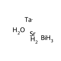 O.[BiH3].[SrH2].[Ta]